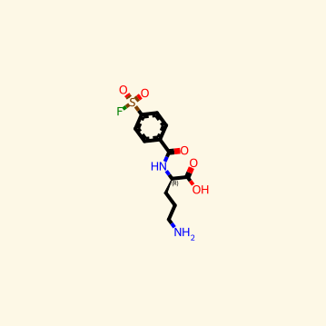 NCCC[C@@H](NC(=O)c1ccc(S(=O)(=O)F)cc1)C(=O)O